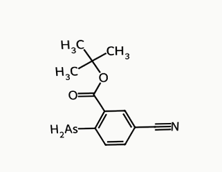 CC(C)(C)OC(=O)c1cc(C#N)ccc1[AsH2]